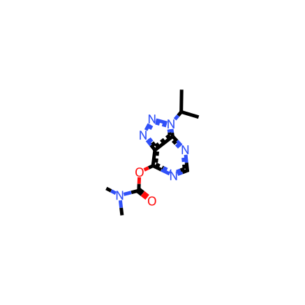 CC(C)n1nnc2c(OC(=O)N(C)C)ncnc21